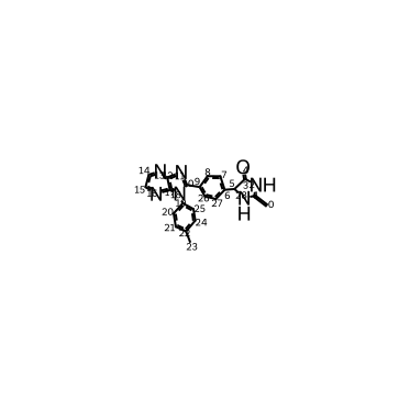 C=C1NC(=O)C(c2ccc(-c3nc4nccnc4n3-c3ccc(C)cc3)cc2)N1